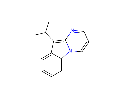 CC(C)c1c2ccccc2n2cccnc12